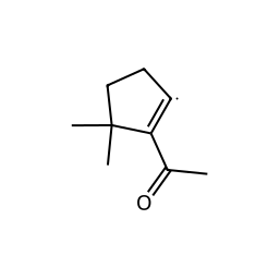 CC(=O)C1=[C]CCC1(C)C